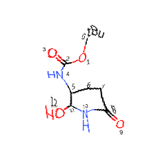 CC(C)(C)OC(=O)NC1CCC(=O)NC1O